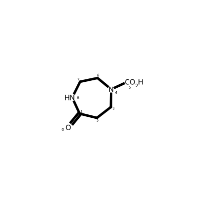 O=C1CCN(C(=O)O)CCN1